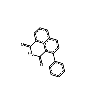 O=C1NC(=O)c2c(-c3ccccc3)ccc3cccc1c23